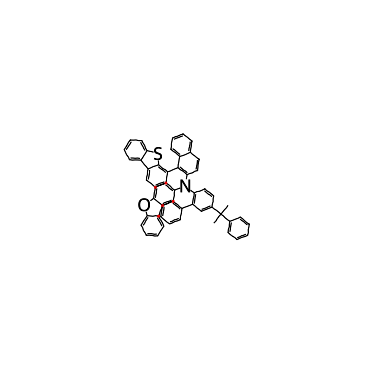 CC(C)(c1ccccc1)c1ccc(N(c2ccc3oc4ccccc4c3c2)c2ccc3ccccc3c2-c2cccc3c2sc2ccccc23)c(-c2ccccc2)c1